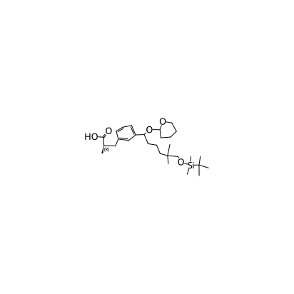 C[C@H](Cc1cccc(C(CCCC(C)(C)CO[Si](C)(C)C(C)(C)C)OC2CCCCO2)c1)C(=O)O